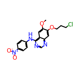 COc1cc2c(Nc3ccc([N+](=O)[O-])cc3)ncnc2cc1OCCCCl